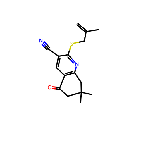 C=C(C)CSc1nc2c(cc1C#N)C(=O)CC(C)(C)C2